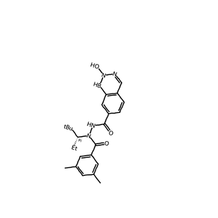 CC[C@@H](N(NC(=O)c1ccc2c(c1)BN(O)N=C2)C(=O)c1cc(C)cc(C)c1)C(C)(C)C